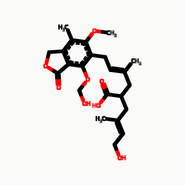 COc1c(C)c2c(c(OCO)c1C/C=C(\C)CC(C/C(C)=C/CO)C(=O)O)C(=O)OC2